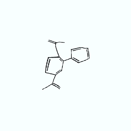 C=C(C)c1ccc(C(=C)C)c(-c2ccccc2)c1